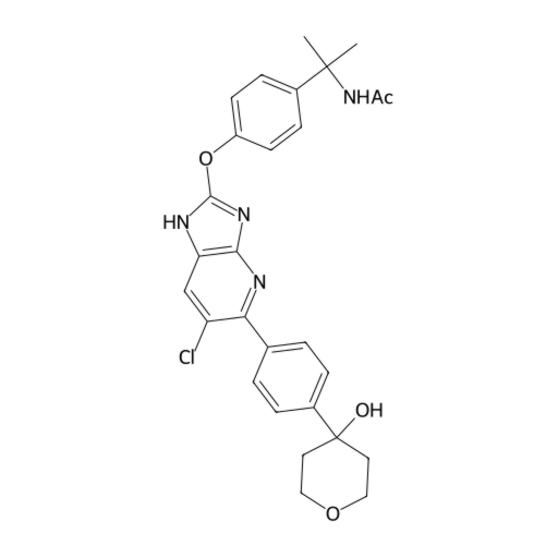 CC(=O)NC(C)(C)c1ccc(Oc2nc3nc(-c4ccc(C5(O)CCOCC5)cc4)c(Cl)cc3[nH]2)cc1